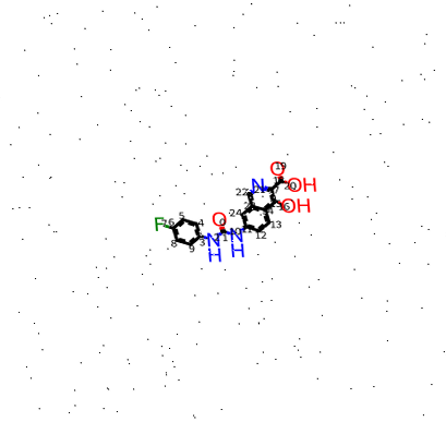 O=C(Nc1ccc(F)cc1)Nc1ccc2c(O)c(C(=O)O)ncc2c1